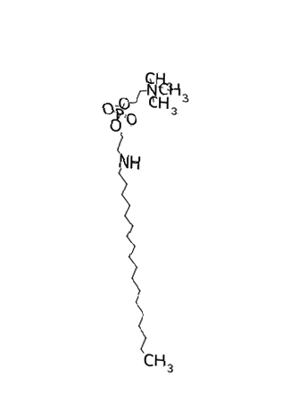 CCCCCCCCCCCCCCCCCCNCCOP(=O)([O-])OCC[N+](C)(C)C